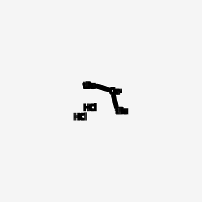 C[C](C)(C)[Ge][C](C)(C)C.Cl.Cl